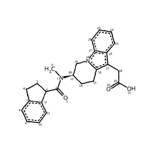 CN(C(=O)C1CCc2ccccc21)[C@@H]1CCc2c(CC(=O)O)c3ccccc3n2C1